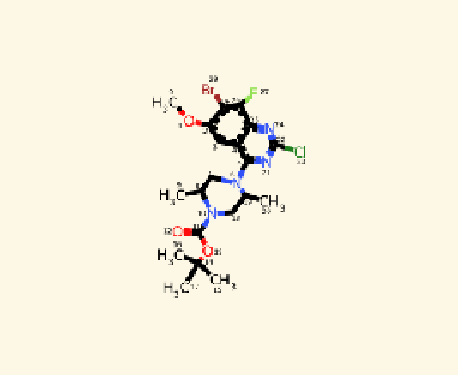 COc1cc2c(N3CC(C)N(C(=O)OC(C)(C)C)CC3C)nc(Cl)nc2c(F)c1Br